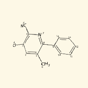 Cc1cc(Cl)c(C#N)nc1-c1ccccc1